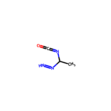 CC(N=N)N=C=O